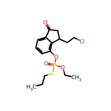 CCCSP(=O)(OCC)Oc1cccc2c1C(CCCl)CC2=O